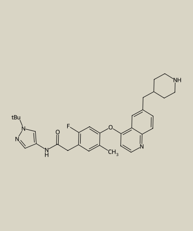 Cc1cc(CC(=O)Nc2cnn(C(C)(C)C)c2)c(F)cc1Oc1ccnc2ccc(CC3CCNCC3)cc12